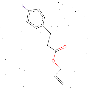 C=CCOC(=O)CCc1ccc(I)cc1